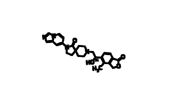 Cc1c([C@@H](O)CN2CCC3(CC2)CCN(c2ccn4cncc4c2)C3=O)ccc2c1COC2=O